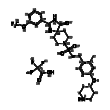 Cc1cc(OC2CCNCC2)ccc1C=CS(=O)(=O)N1CCC2(CC1)N=C(c1cccc(OC(F)(F)F)c1)NC2=O.O=C(O)C(F)(F)F